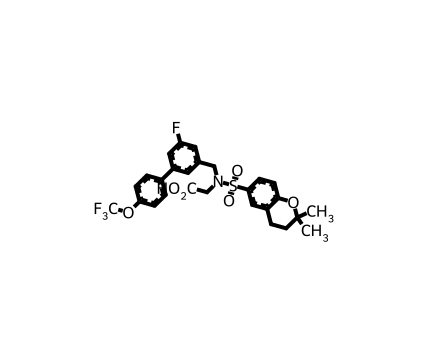 CC1(C)CCc2cc(S(=O)(=O)N(CC(=O)O)Cc3cc(F)cc(-c4ccc(OC(F)(F)F)cc4)c3)ccc2O1